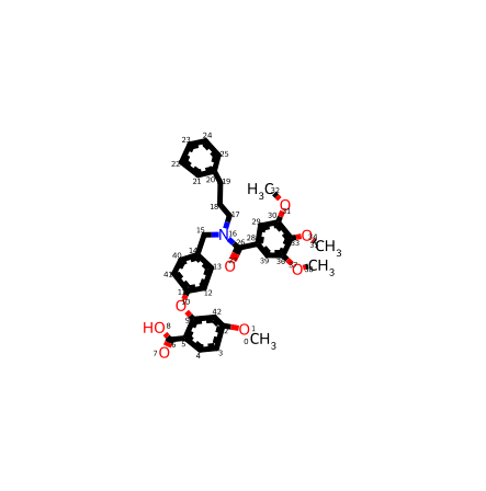 COc1ccc(C(=O)O)c(Oc2ccc(CN(CCCc3ccccc3)C(=O)c3cc(OC)c(OC)c(OC)c3)cc2)c1